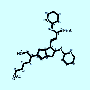 CCCCCC(C=CC1C(OC2CCCCO2)CC2C=C(C(CO)CCCCOC(C)=O)CC21)OC1CCCCO1